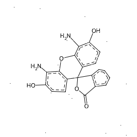 Nc1c(O)ccc2c1Oc1c(ccc(O)c1N)C21OC(=O)c2ccccc21